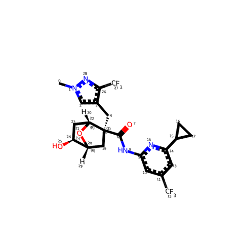 Cn1cc(C[C@]2(C(=O)Nc3cc(C(F)(F)F)cc(C4CC4)n3)C[C@H]3O[C@@H]2C[C@@H]3O)c(C(F)(F)F)n1